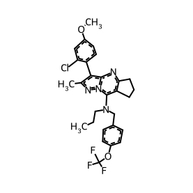 CCCN(Cc1ccc(OC(F)(F)F)cc1)c1c2c(nc3c(-c4ccc(OC)cc4Cl)c(C)nn13)CCC2